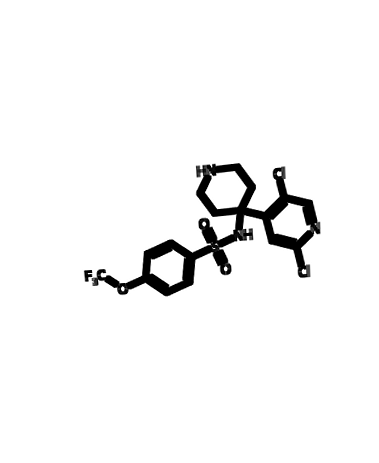 O=S(=O)(NC1(c2cc(Cl)ncc2Cl)CCNCC1)c1ccc(OC(F)(F)F)cc1